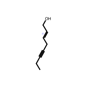 CCC#CC/C=C/CO